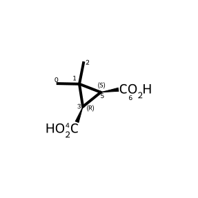 CC1(C)[C@H](C(=O)O)[C@@H]1C(=O)O